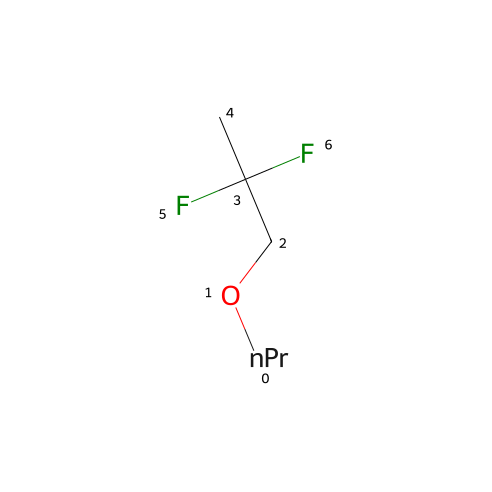 CCCOCC(C)(F)F